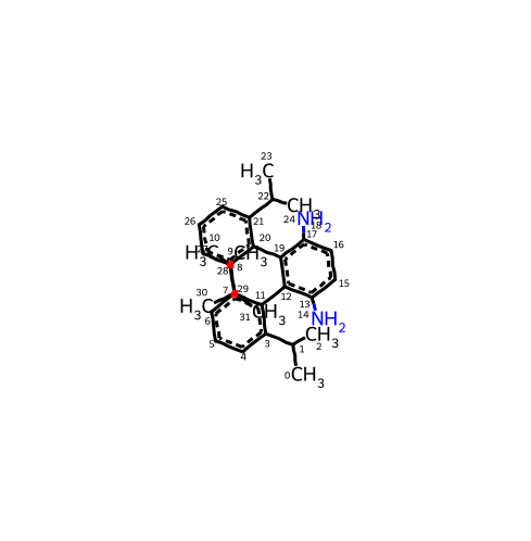 CC(C)c1cccc(C(C)C)c1-c1c(N)ccc(N)c1-c1c(C(C)C)cccc1C(C)C